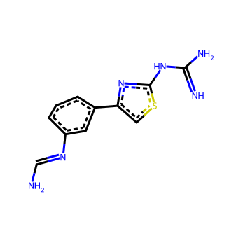 N=C(N)Nc1nc(-c2cccc(N=CN)c2)cs1